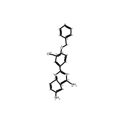 Nc1ccc2nc(-c3ccc(OCc4ccccc4)c(Cl)c3)nc(N)c2c1